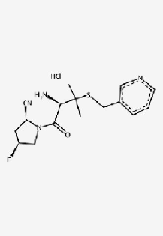 CC(C)(SCc1cccnc1)[C@H](N)C(=O)N1C[C@@H](F)C[C@H]1C#N.Cl